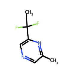 Cc1cncc(C(C)(F)F)n1